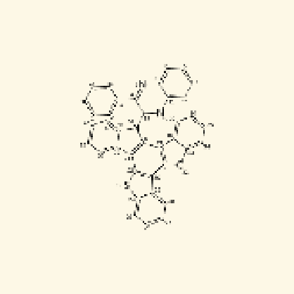 c1ccc(-c2nc3ccccc3nc2-n2c3ccccc3c3c4sc5ccccc5c4c4oc5ccccc5c4c32)cc1